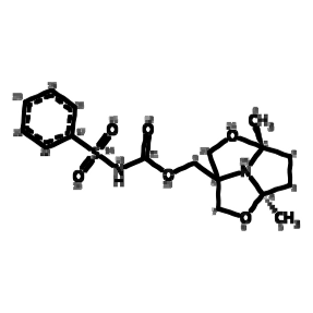 C[C@]12CC[C@@]3(C)OCC(COC(=O)NS(=O)(=O)c4ccccc4)(CO1)N23